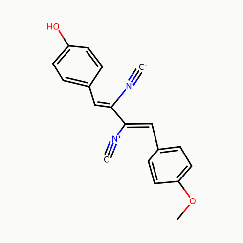 [C-]#[N+]C(=C\c1ccc(O)cc1)/C(=C/c1ccc(OC)cc1)[N+]#[C-]